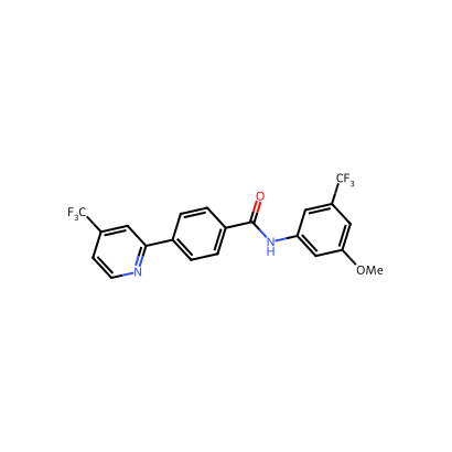 COc1cc(NC(=O)c2ccc(-c3cc(C(F)(F)F)ccn3)cc2)cc(C(F)(F)F)c1